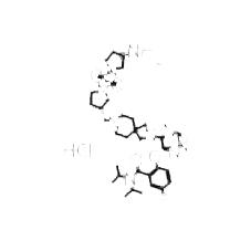 CC(C)N(C(=O)c1cc(F)ccc1Oc1nncnc1N1CC2(CCN(C[C@@H]3CCN(S(=O)(=O)N4CC[C@@H](N)C4)C3)CC2)C1)C(C)C.Cl